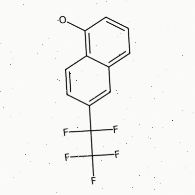 [O]c1cccc2cc(C(F)(F)C(F)(F)F)ccc12